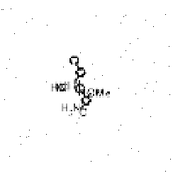 COc1ccc(C(N)=O)cc1N1CCN(Cc2cccc(-c3ccccc3)c2)CC1.Cl.Cl